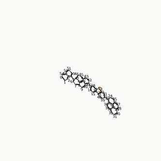 c1ccc2c(-c3ccc4ccc5c(-c6ccc7c(c6)sc6cc(-c8ccc9ccc%10cccc%11ccc8c9c%10%11)ccc67)ccc6ccc3c4c65)cccc2c1